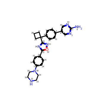 Nc1ncc(-c2ccc(C3(c4noc(-c5ccc(N6CCNCC6)cc5)n4)CCC3)cc2)cn1